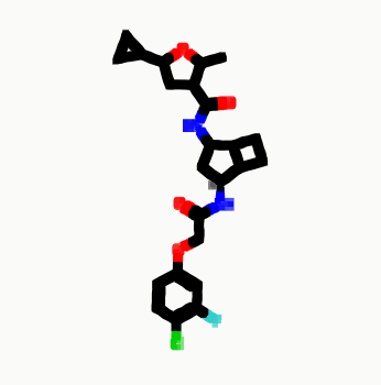 CC1OC(C2CC2)CC1C(=O)NC1C[C@H](NC(=O)COc2ccc(Cl)c(F)c2)C2CCC12